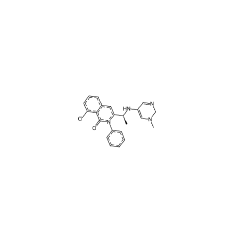 C[C@H](NC1=CN(C)CN=C1)c1cc2cccc(Cl)c2c(=O)n1-c1ccccc1